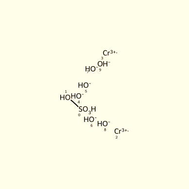 O=S(=O)(O)O.[Cr+3].[Cr+3].[OH-].[OH-].[OH-].[OH-].[OH-].[OH-]